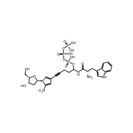 N[C@@H](Cc1c[nH]c2ccccc12)C(=O)NC(CCC#Cc1cc([N+](=O)[O-])n([C@H]2C[C@H](O)[C@@H](CO)O2)c1)OP(=O)(O)OP(=O)(O)OP(=O)(O)O